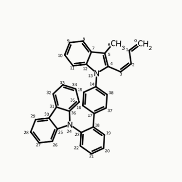 C=C/C=C\c1c(C)c2ccccc2n1-c1ccc(-c2ccccc2-n2c3ccccc3c3ccccc32)cc1